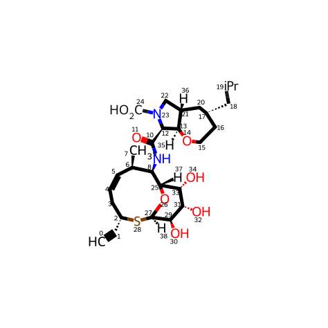 C#C[C@@H]1CC=C[C@@H](C)[C@@H](NC(=O)[C@@H]2[C@@H]3OCC[C@@H](CC(C)C)C[C@H]3CN2C(=O)O)[C@H]2O[C@H](S1)[C@H](O)[C@@H](O)[C@H]2O